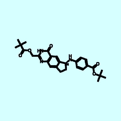 CC(C)(C)OC(=O)c1ccc(N[C@H]2CCc3cc4nc(COC(=O)C(C)(C)C)[nH]c(=O)c4cc32)cc1